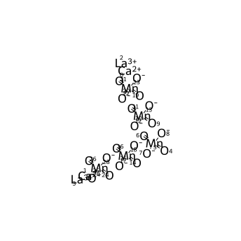 [Ca+2].[Ca+2].[La+3].[La+3].[O]=[Mn](=[O])([O-])[O-].[O]=[Mn](=[O])([O-])[O-].[O]=[Mn](=[O])([O-])[O-].[O]=[Mn](=[O])([O-])[O-].[O]=[Mn](=[O])([O-])[O-]